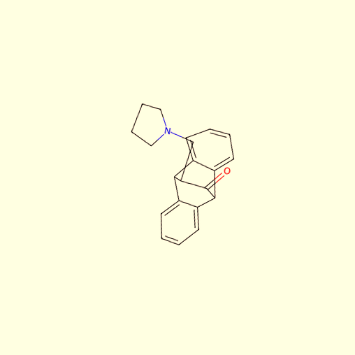 O=C1C2c3ccccc3C(c3ccccc32)C1CN1CCCC1